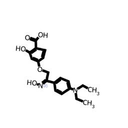 CCN(CC)c1ccc(/C(COc2ccc(C(=O)O)c(O)c2)=N/O)cc1